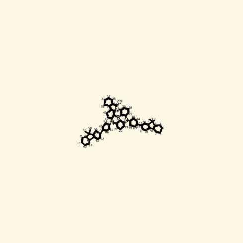 CC1(C)c2ccccc2-c2ccc(-c3ccc(N4c5cccc6c5B5c7c4cccc7-n4c(=O)c7ccccc7c7ccc(c5c74)N6c4ccc(-c5ccc6c(c5)C(C)(C)C5C=CC=CC65)cc4)cc3)cc21